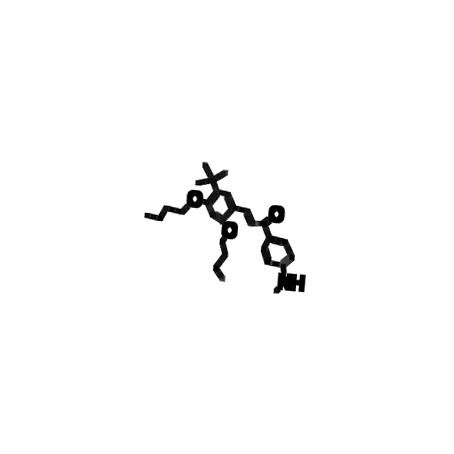 CCCCOc1cc(OCCCC)c(C(C)(C)C)cc1C=CC(=O)c1ccc(NC)cc1